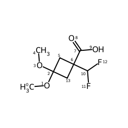 COC1(OC)CC(C(=O)O)(C(F)F)C1